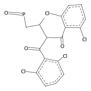 CC(CP=O)C(C(=O)c1c(Cl)cccc1Cl)C(=O)c1c(Cl)cccc1Cl